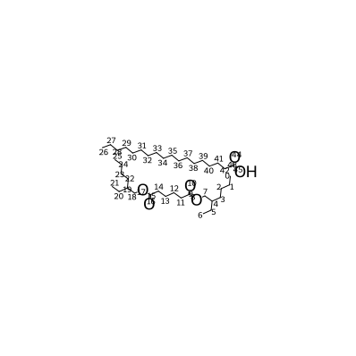 CCCCC(CC)COC(=O)CCCCC(=O)OCC(CC)CCCC.CCCCCCCCCCCCCCCCCC(=O)O